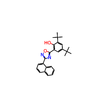 CC(C)(C)c1cc(-c2nc(-c3cccc4ccccc34)no2)c(O)c(C(C)(C)C)c1